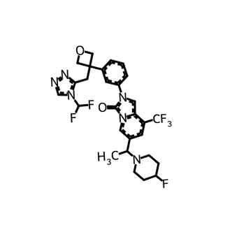 CC(c1cc(C(F)(F)F)c2cn(-c3cccc(C4(Cc5nncn5C(F)F)COC4)c3)c(=O)n2c1)N1CCC(F)CC1